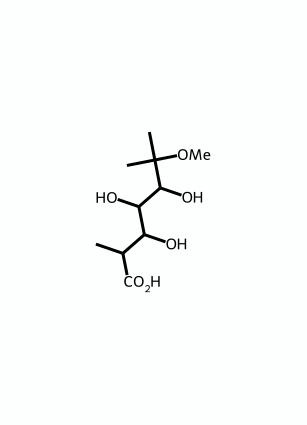 COC(C)(C)C(O)C(O)C(O)C(C)C(=O)O